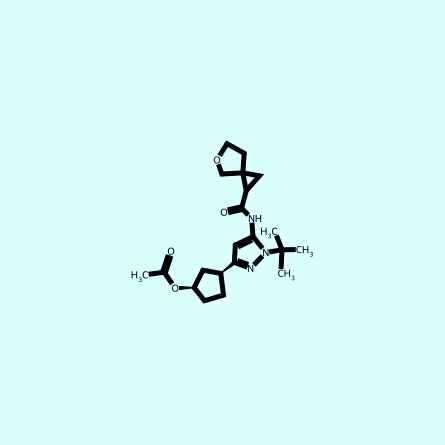 CC(=O)O[C@@H]1CC[C@H](c2cc(NC(=O)C3CC34CCOC4)n(C(C)(C)C)n2)C1